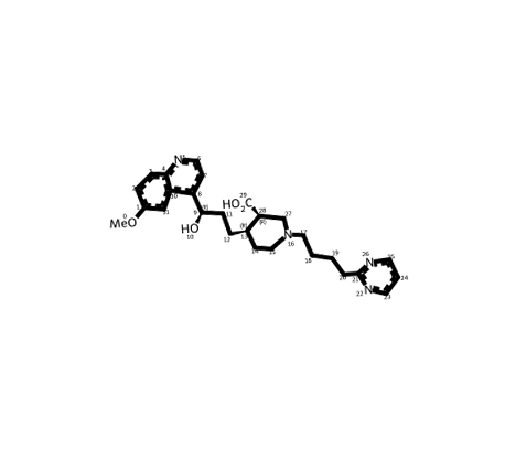 COc1ccc2nccc([C@H](O)CC[C@@H]3CCN(CCCCc4ncccn4)C[C@@H]3C(=O)O)c2c1